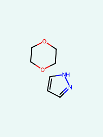 C1COCCO1.c1cn[nH]c1